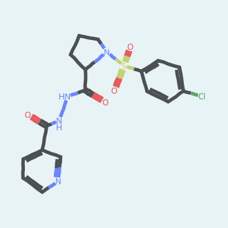 O=C(NNC(=O)C1CCCN1S(=O)(=O)c1ccc(Cl)cc1)c1cccnc1